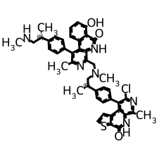 CNC[C@H](C)c1ccc(-c2c(C)nc(CN(C)C[C@H](C)c3ccc(-c4c(Cl)nc(C)c5[nH]c(=O)c6sccc6c45)cc3)c3[nH]c(=O)c4c(O)cccc4c23)cc1